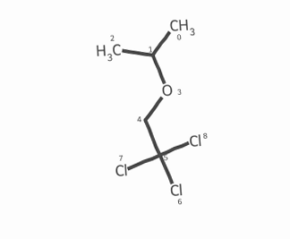 CC(C)OCC(Cl)(Cl)Cl